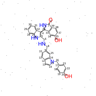 O=C1N[C@H](c2c(CNCc3ccc4ccn(Cc5ccc(O)cc5)c4c3)[nH]c3ccccc23)c2cc(O)ccc21